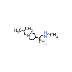 CCNC[C@@H](C)C1CCN(CC(C)C)CC1